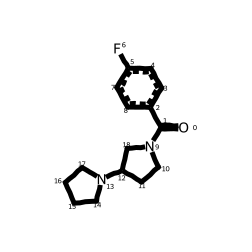 O=C(c1ccc(F)cc1)N1CCC(N2CCCC2)C1